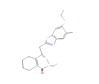 N#Cc1cc2nc(Cc3nn(CC(=O)O)c(=O)c4c3CCCC4)[nH]c2cc1OCC(F)(F)F